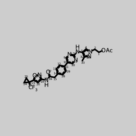 CC(=O)OCCn1cc(Nc2ncc(-c3ccc(CC(=O)Nc4cc(C5(C(F)(F)F)CC5)on4)cc3)cn2)c(C)n1